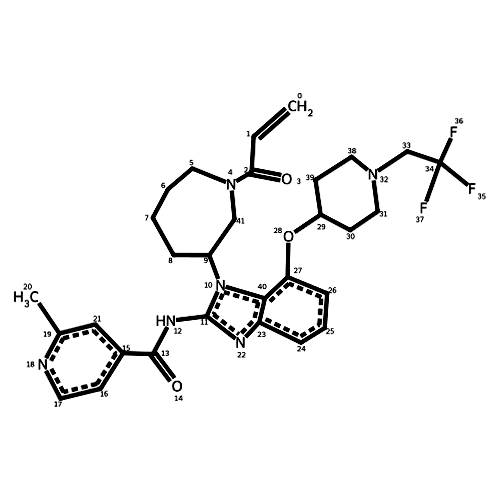 C=CC(=O)N1CCCCC(n2c(NC(=O)c3ccnc(C)c3)nc3cccc(OC4CCN(CC(F)(F)F)CC4)c32)C1